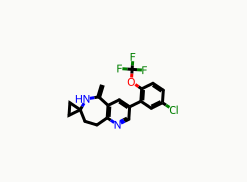 C=C1NC2(CCc3ncc(-c4cc(Cl)ccc4OC(F)(F)F)cc31)CC2